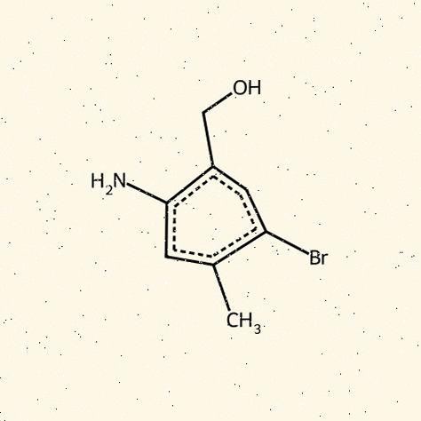 Cc1cc(N)c(CO)cc1Br